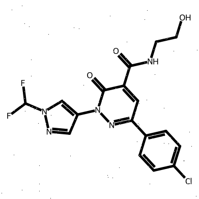 O=C(NCCO)c1cc(-c2ccc(Cl)cc2)nn(-c2cnn(C(F)F)c2)c1=O